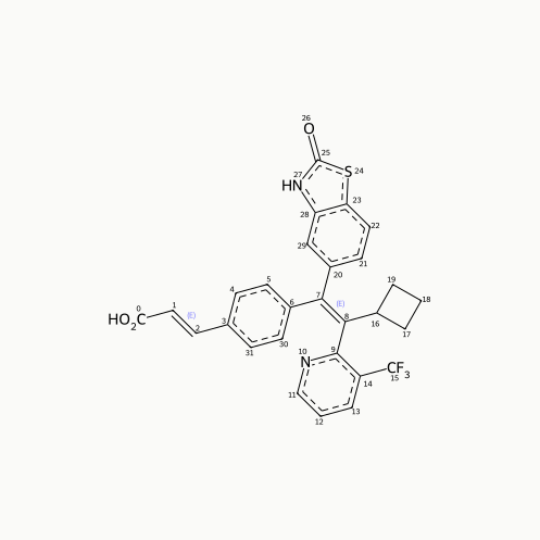 O=C(O)/C=C/c1ccc(/C(=C(\c2ncccc2C(F)(F)F)C2CCC2)c2ccc3sc(=O)[nH]c3c2)cc1